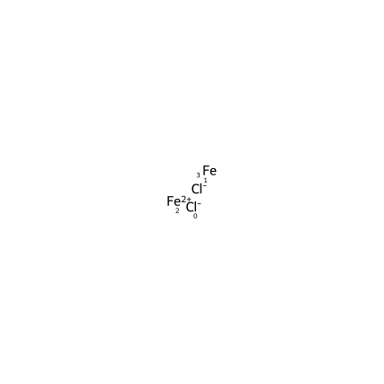 [Cl-].[Cl-].[Fe+2].[Fe]